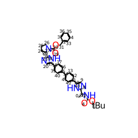 C[C@H](NC(=O)OC(C)(C)C)c1ncc(-c2ccc(-c3ccc(-c4cnc([C@@H]5CCCN5C(=O)OCc5ccccc5)[nH]4)cc3)cc2)[nH]1